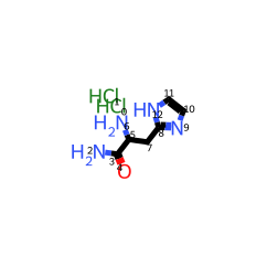 Cl.Cl.NC(=O)C(N)Cc1ncc[nH]1